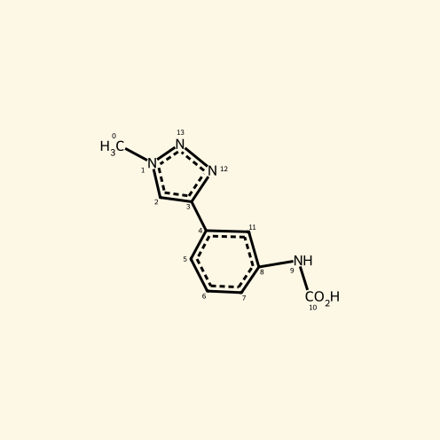 Cn1cc(-c2cccc(NC(=O)O)c2)nn1